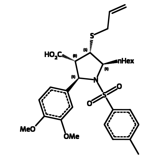 C=CCS[C@H]1[C@@H](C(=O)O)[C@H](c2ccc(OC)c(OC)c2)N(S(=O)(=O)c2ccc(C)cc2)[C@@H]1CCCCCC